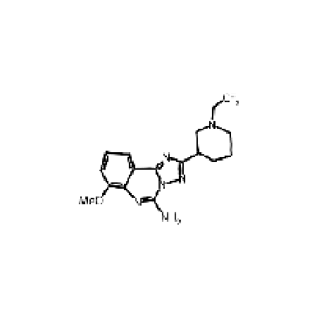 COc1cccc2c1nc(N)n1nc(C3CCCN(CC(F)(F)F)C3)nc21